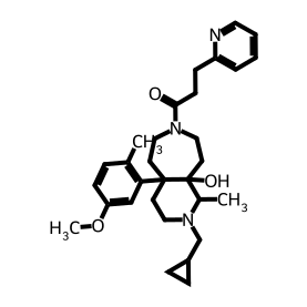 COc1ccc(C)c(C23CCN(C(=O)CCc4ccccn4)CCC2(O)C(C)N(CC2CC2)CC3)c1